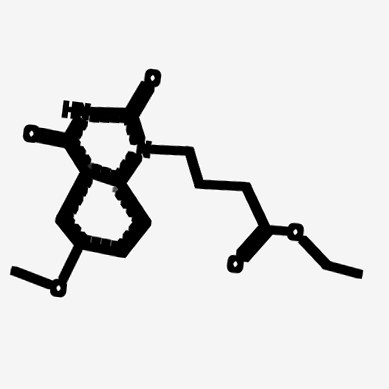 CCOC(=O)CCCn1c(=O)[nH]c(=O)c2cc(OC)ccc21